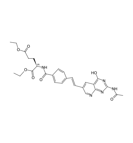 CCOC(=O)CC[C@@H](NC(=O)c1ccc(C=Cc2cnc3nc(NC(C)=O)nc(O)c3c2)cc1)C(=O)OCC